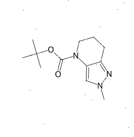 Cn1cc2c(n1)CCCN2C(=O)OC(C)(C)C